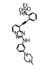 CCS(=O)(=O)Nc1ccccc1C#Cc1cccn2nc(Nc3cccc(N4CCN(C)CC4)c3)nc12